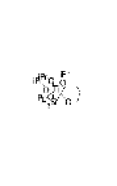 CC(C)[O][Ti]([O]C(C)C)([O]C(C)C)([O]C(C)C)[C]1([SiH3])CCCCO1